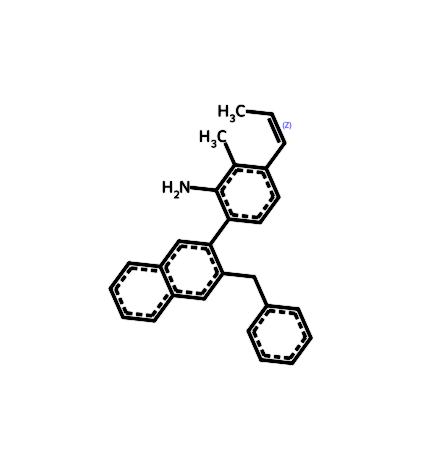 C/C=C\c1ccc(-c2cc3ccccc3cc2Cc2ccccc2)c(N)c1C